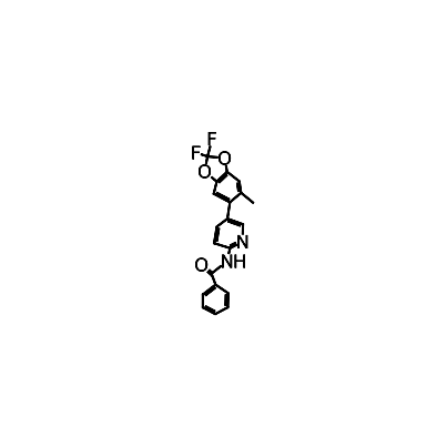 Cc1cc2c(cc1-c1ccc(NC(=O)c3ccccc3)nc1)OC(F)(F)O2